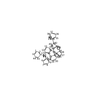 c1ccc(N(c2ccccc2)c2cccc3c2-c2ccccc2C32c3ccccc3Oc3cc(-c4ccccn4)ccc32)cc1